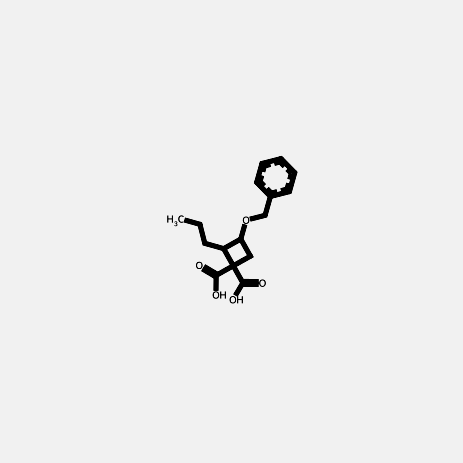 CCCC1C(OCc2ccccc2)CC1(C(=O)O)C(=O)O